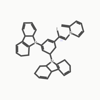 C=C1C=CC=CN1/C=C(\I)C1=CC(N2C3=C(C=CCC3)C3C=CC=CC32)=CC(N2C3=C(C=CCC3)C3C=CCCC32)C1